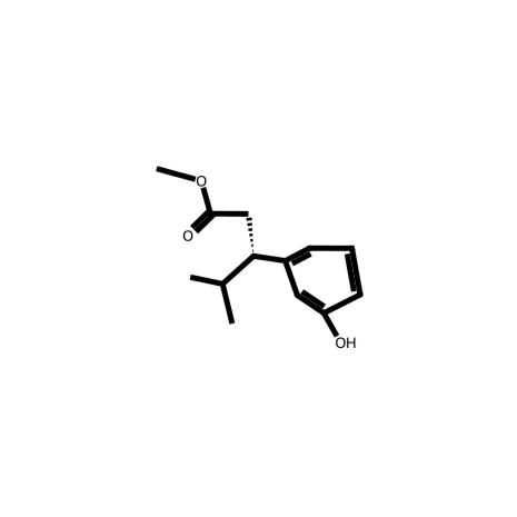 COC(=O)C[C@H](c1cccc(O)c1)C(C)C